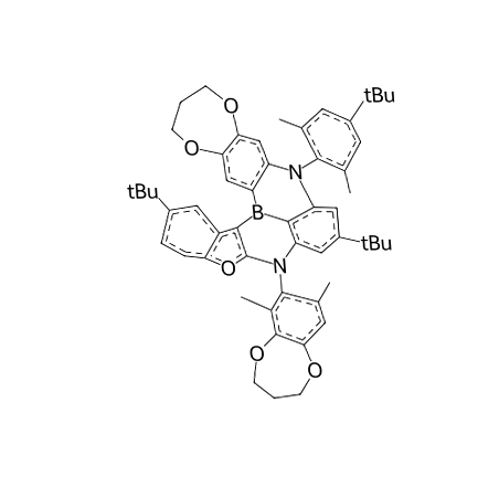 Cc1cc(C(C)(C)C)cc(C)c1N1c2cc3c(cc2B2c4c1cc(C(C)(C)C)cc4N(c1c(C)cc4c(c1C)OCCCO4)c1oc4ccc(C(C)(C)C)cc4c12)OCCCO3